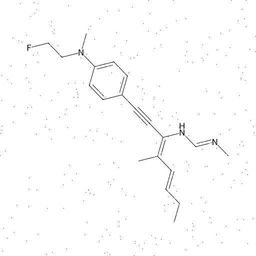 CC/C=C/C(C)=C(/C#Cc1ccc(N(C)CCF)cc1)N/C=N/C